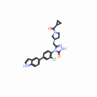 O=C(C1CC1)N1CC[C@@H](Cc2n[nH]c(=O)n2-c2ccc(-c3ccc4[nH]ccc4c3)cc2Cl)C1